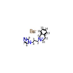 C1=[N+](CCCn2ccnc2)CCc2ccccc21.[Br-]